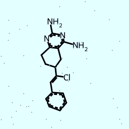 Nc1nc(N)c2c(n1)CCC(/C(Cl)=C/c1ccccc1)C2